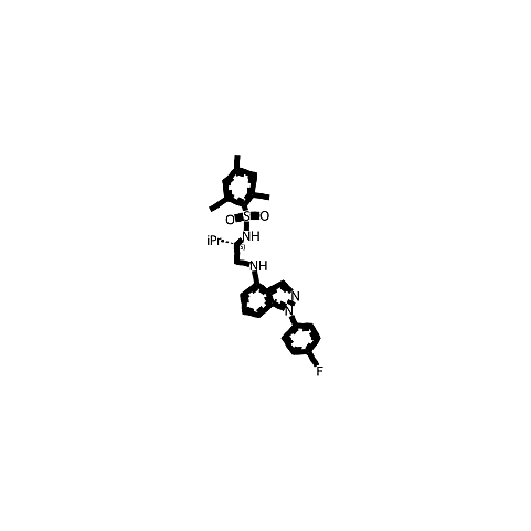 Cc1cc(C)c(S(=O)(=O)N[C@H](CNc2cccc3c2cnn3-c2ccc(F)cc2)C(C)C)c(C)c1